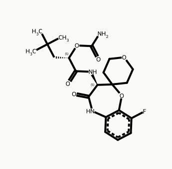 CC(C)(C)C[C@H](OC(N)=O)C(=O)N[C@@H]1C(=O)Nc2cccc(F)c2OC12CCOCC2